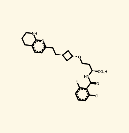 O=C(N[C@@H](CCO[C@H]1C[C@H](CCc2ccc3c(n2)NCCC3)C1)C(=O)O)c1c(F)cccc1Cl